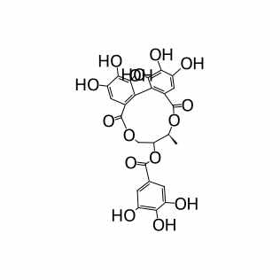 C[C@@H]1OC(=O)c2cc(O)c(O)c(O)c2-c2c(cc(O)c(O)c2O)C(=O)OCC1OC(=O)c1cc(O)c(O)c(O)c1